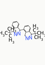 CC(C)(C)c1nncc2c(-c3nnc(C(C)(C)C)c4ccccc34)cccc12